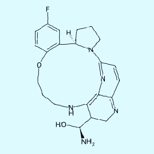 N[C@@H](O)C1CN=c2ccc3nc2=C1NCCCOc1ccc(F)cc1[C@H]1CCCN31